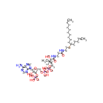 CCCCCCCCCCC(CCCCC)SCCNC(=O)CCNC(=O)C(O)C(C)(C)COP(=O)(O)OP(=O)(O)OC[C@H]1O[C@@H](n2cnc3c(N)ncnc32)[C@H](O)[C@@H]1OP(=O)(O)O